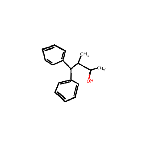 [CH2]C(O)C(C)C(c1ccccc1)c1ccccc1